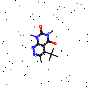 Cc1nnc2c(c1C(C)(C)C)c(=O)n(C)c(=O)n2C